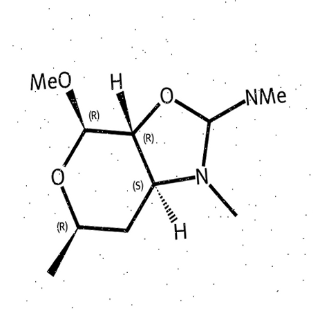 CNC1O[C@H]2[C@H](OC)O[C@H](C)C[C@@H]2N1C